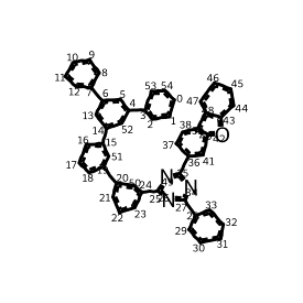 c1ccc(-c2cc(-c3ccccc3)cc(-c3cccc(-c4cccc(-c5nc(-c6ccccc6)nc(-c6ccc7c(c6)oc6ccccc67)n5)c4)c3)c2)cc1